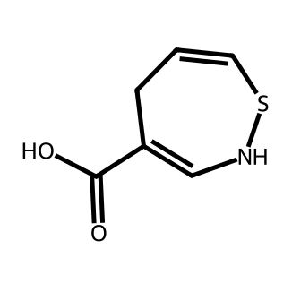 O=C(O)C1=CNSC=CC1